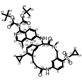 CN1Cc2cc(ccc2S(=O)(=O)C2CC2)NC(=O)CCc2cc(ccc2C2CC2)C(Nc2ccc3c(N(C(=O)OC(C)(C)C)C(=O)OC(C)(C)C)ncc(F)c3c2)C1=O